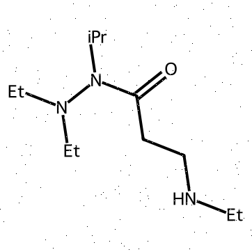 CCNCCC(=O)N(C(C)C)N(CC)CC